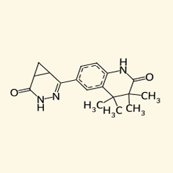 CC1(C)C(=O)Nc2ccc(C3=NNC(=O)C4CC34)cc2C1(C)C